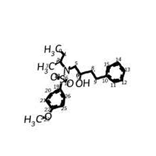 CC[C@H](C)N(C[C@H](O)[CH]Cc1ccccc1)S(=O)(=O)c1ccc(OC)cc1